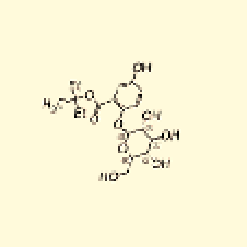 CCC(C)(CC)OC(=O)c1cc(O)ccc1O[C@@H]1O[C@H](CO)[C@@H](O)[C@H](O)[C@H]1O